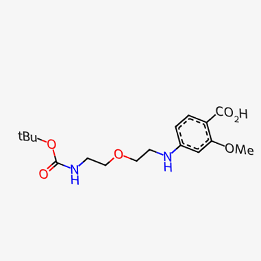 COc1cc(NCCOCCNC(=O)OC(C)(C)C)ccc1C(=O)O